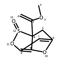 C=C(OC)C12Cc3cc(c1o3)OS2=O